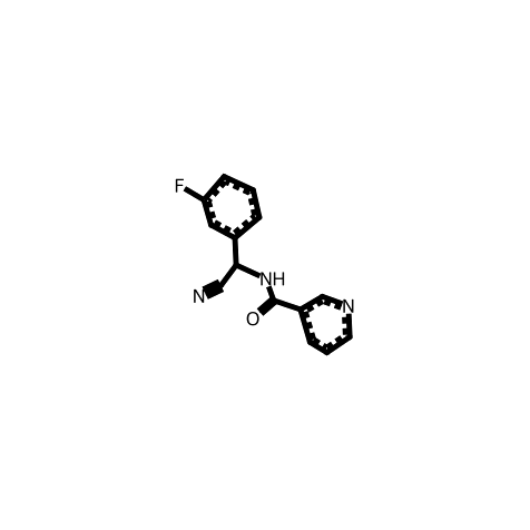 N#CC(NC(=O)c1cccnc1)c1cccc(F)c1